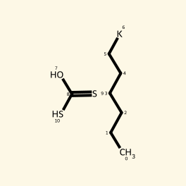 CCCCC[CH2][K].OC(=S)S